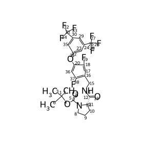 CC(C)(C)OC(=O)N1CCC[C@H]1C(=O)NCc1cc(F)c(Oc2cc(C(F)(F)F)cc(C(F)(F)F)c2)cc1F